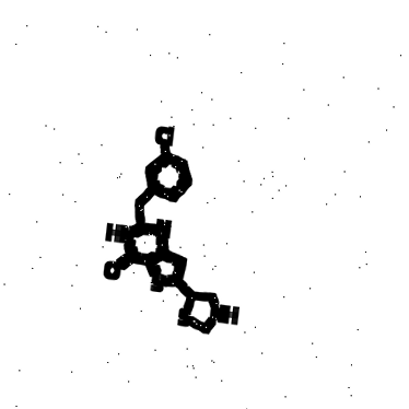 O=c1[nH]c(Cc2cccc(Cl)c2)nc2cc(C3CNCS3)sc12